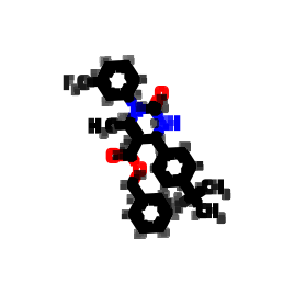 CCC(C)(C)c1ccc(C2NC(=O)N(c3cccc(C(F)(F)F)c3)C(C)=C2C(=O)OCc2ccccc2)cc1